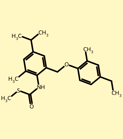 CCc1ccc(OCc2cc(C(C)C)cc(C)c2NC(=O)SC)c(C)c1